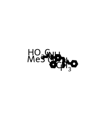 CSCC[C@H](NC(=O)c1ccc(CN(CCF)CCC2CCCCC2)cc1-c1ccccc1C)C(=O)O